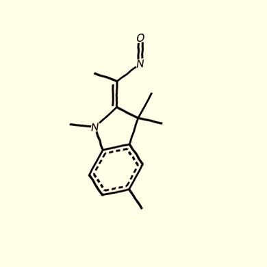 CC(N=O)=C1N(C)c2ccc(C)cc2C1(C)C